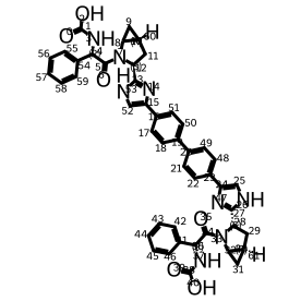 O=C(O)N[C@@H](C(=O)N1C2C[C@@H]2C[C@H]1c1nc(-c2ccc(-c3ccc(-c4c[nH]c([C@@H]5C[C@H]6CC6N5C(=O)[C@H](NC(=O)O)c5ccccc5)n4)cc3)cc2)c[nH]1)c1ccccc1